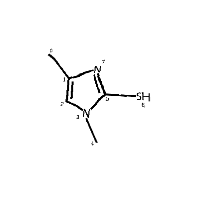 Cc1cn(C)c(S)n1